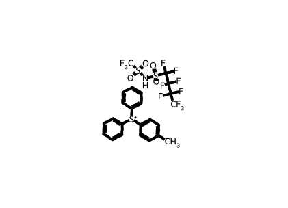 Cc1ccc([S+](c2ccccc2)c2ccccc2)cc1.O=S(=O)(NS(=O)(=O)C(F)(F)C(F)(F)C(F)(F)C(F)(F)F)C(F)(F)F